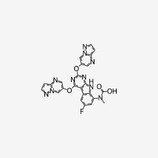 CN(C(=O)O)c1cc(F)cc2c1[nH]c1nc(Oc3cnc4ccnn4c3)nc(Oc3cnc4ccnn4c3)c12